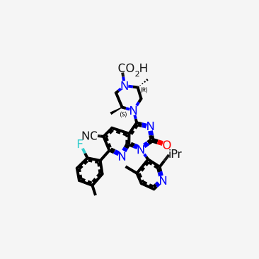 Cc1ccc(F)c(-c2nc3c(cc2C#N)c(N2C[C@@H](C)N(C(=O)O)C[C@@H]2C)nc(=O)n3-c2c(C)ccnc2C(C)C)c1